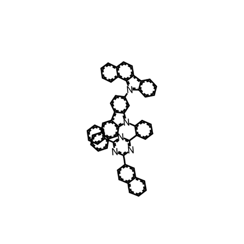 c1ccc(-c2nc(-c3ccc4ccccc4c3)nc(-c3ccccc3-n3c4cc(-n5c6ccccc6c6ccc7ccccc7c65)ccc4c4cc5ccccc5cc43)n2)cc1